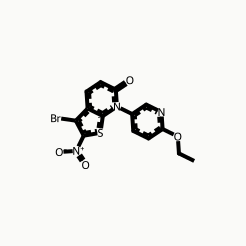 CCOc1ccc(-n2c(=O)ccc3c(Br)c([N+](=O)[O-])sc32)cn1